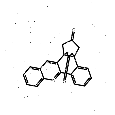 O=C1CC23CC(=O)CC2(C1)c1cc2ccccc2nc1-c1ccccc13